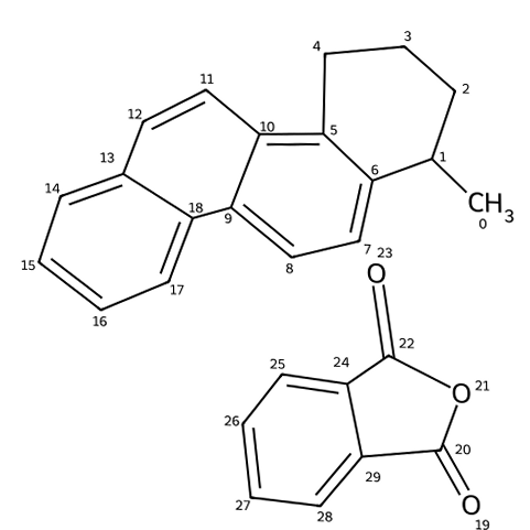 CC1CCCc2c1ccc1c2ccc2ccccc21.O=C1OC(=O)c2ccccc21